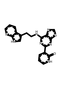 O=c1[nH]cccc1-c1nc(NCCc2c[nH]c3ncccc23)c2ncsc2n1